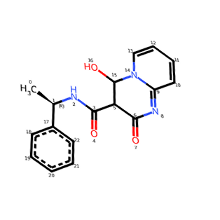 C[C@@H](NC(=O)C1C(=O)N=C2C=CC=CN2C1O)c1ccccc1